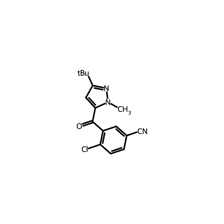 Cn1nc(C(C)(C)C)cc1C(=O)c1cc(C#N)ccc1Cl